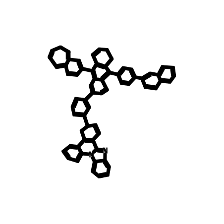 C1=CCC=c2cc(-c3c4c(c(-c5ccc(-c6ccc7ccccc7c6)cc5)c5ccc(-c6cccc(C7C=Cc8c(c9ccccc9n9c8nc8ccccc89)C7)c6)cc35)CCC=C4)ccc2=C1